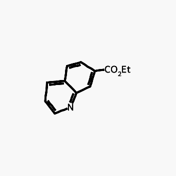 CCOC(=O)c1ccc2cccnc2c1